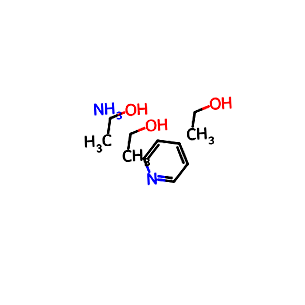 CCO.CCO.CCO.N.c1ccncc1